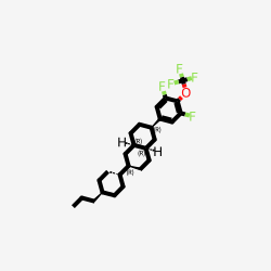 CCC[C@H]1CC[C@H]([C@@H]2CC[C@@H]3C[C@H](c4cc(F)c(OC(F)(F)F)c(F)c4)CC[C@@H]3C2)CC1